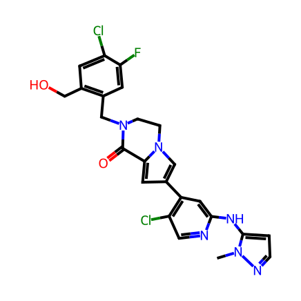 Cn1nccc1Nc1cc(-c2cc3n(c2)CCN(Cc2cc(F)c(Cl)cc2CO)C3=O)c(Cl)cn1